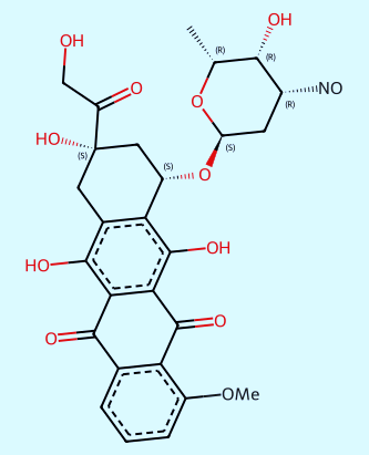 COc1cccc2c1C(=O)c1c(O)c3c(c(O)c1C2=O)C[C@@](O)(C(=O)CO)C[C@@H]3O[C@@H]1C[C@@H](N=O)[C@@H](O)[C@@H](C)O1